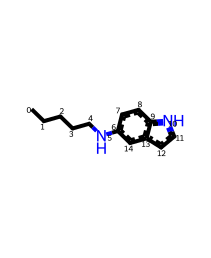 CCCCCNc1ccc2[nH]ccc2c1